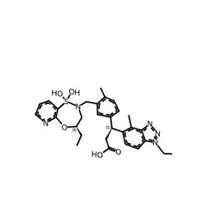 CC[C@@H]1CN(Cc2cc([C@H](CC(=O)O)c3ccc4c(nnn4CC)c3C)ccc2C)S(O)(O)c2cccnc2O1